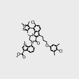 COC(=O)c1cn(C)c2c(N3C[C@@H](C)n4c(c(CCCOc5cc(C)c(Cl)c(C)c5)c5ccc(Cl)c(-c6c(C)nn(C)c6C)c54)C3=O)cccc12